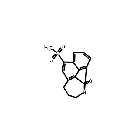 CS(=O)(=O)c1cc2c3c4c(cccc14)N(CCC2)C3=O